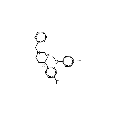 Fc1ccc(OC[C@H]2CN(Cc3ccccc3)CC[C@@H]2c2ccc(F)cc2)cc1